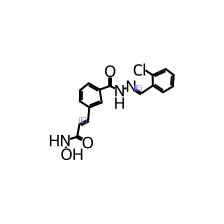 O=C(/C=C/c1cccc(C(=O)N/N=C/c2ccccc2Cl)c1)NO